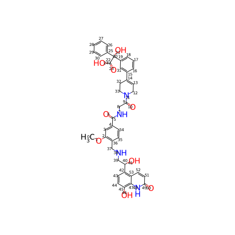 COc1cc(C(=O)NCC(=O)N2CC=C(c3cccc(C(O)(C(=O)O)c4ccccc4)c3)CC2)ccc1CNCC(O)c1ccc(O)c2[nH]c(=O)ccc12